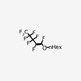 CCCCCCOC(F)=C(F)C(F)(F)C(F)(F)C(F)(F)F